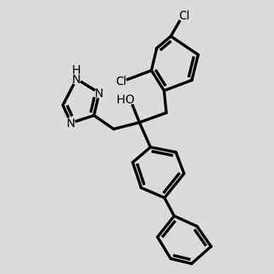 OC(Cc1nc[nH]n1)(Cc1ccc(Cl)cc1Cl)c1ccc(-c2ccccc2)cc1